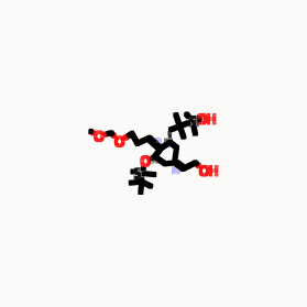 COCOCC/C=C1/[C@H](CC(C)(C)[Si](C)(C)O)C/C(=C\CO)C[C@H]1O[Si](C)(C)C(C)(C)C